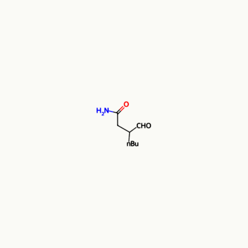 CCCCC(C=O)CC(N)=O